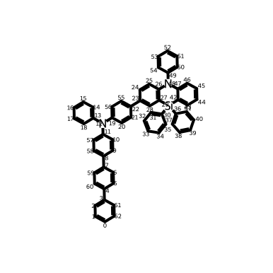 c1ccc(-c2ccc(-c3ccc(N(c4ccccc4)c4ccc(-c5ccc6c(c5)[Si](c5ccccc5)(c5ccccc5)c5ccccc5N6c5ccccc5)cc4)cc3)cc2)cc1